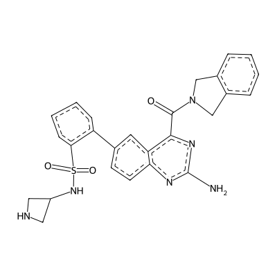 Nc1nc(C(=O)N2Cc3ccccc3C2)c2cc(-c3ccccc3S(=O)(=O)NC3CNC3)ccc2n1